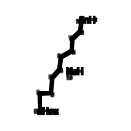 CCCCCCCCCCCCC[CH2][SnH].[NaH]